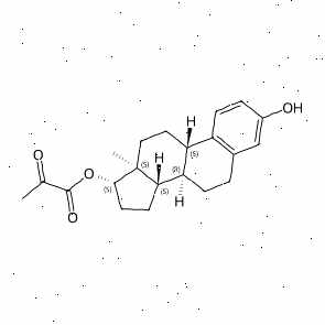 CC(=O)C(=O)O[C@H]1CC[C@H]2[C@@H]3CCc4cc(O)ccc4[C@H]3CC[C@]12C